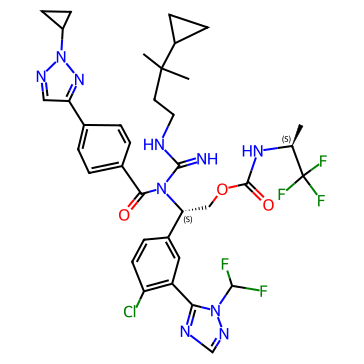 C[C@H](NC(=O)OC[C@H](c1ccc(Cl)c(-c2ncnn2C(F)F)c1)N(C(=N)NCCC(C)(C)C1CC1)C(=O)c1ccc(-c2cnn(C3CC3)n2)cc1)C(F)(F)F